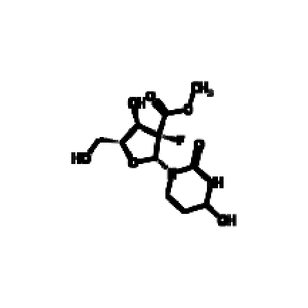 COC(=O)[C@]1(F)[C@H](O)[C@@H](CO)O[C@H]1N1CCC(O)NC1=O